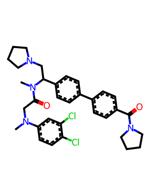 CN(CC(=O)N(C)C(CN1CCCC1)c1ccc(-c2ccc(C(=O)N3CCCC3)cc2)cc1)c1ccc(Cl)c(Cl)c1